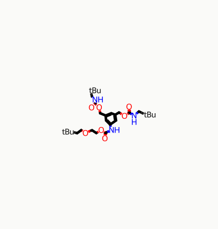 CC(C)(C)CCOCCOC(=O)Nc1cc(COC(=O)NCC(C)(C)C)cc(COC(=O)NCC(C)(C)C)c1